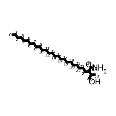 CCCCCCCCCCCCCCCCCCCCCCCCCC(C(N)=O)C(C)CO